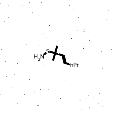 CCCC=CC(C)(C)SN